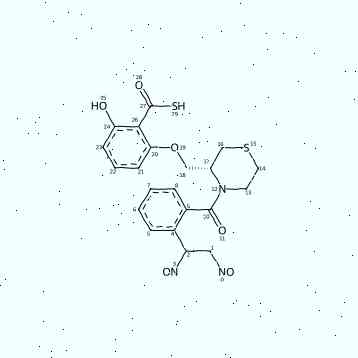 O=NCC(N=O)c1ccccc1C(=O)N1CCSC[C@H]1COc1cccc(O)c1C(=O)S